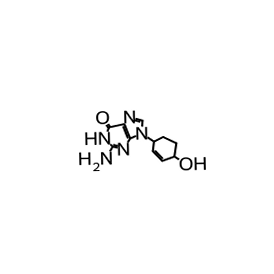 Nc1nc2c(ncn2C2C=CC(O)CC2)c(=O)[nH]1